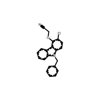 N#CCOc1c(Cl)ccc2c1c1ccccc1n2Cc1ccccc1